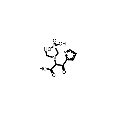 CCN(CP(=O)(O)O)C(C(=O)O)C(=O)c1cccs1